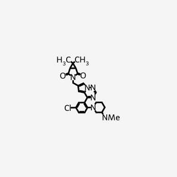 CNC1CCCN(c2ccc(Cl)cc2-c2ncnn3cc(CN4C(=O)C5C(C4=O)C5(C)C)cc23)C1